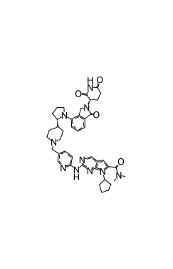 CN(C)C(=O)c1cc2cnc(Nc3ccc(CN4CCC([C@H]5CCCN5c5cccc6c5CN([C@@H]5CCC(=O)NC5=O)C6=O)CC4)cn3)nc2n1C1CCCC1